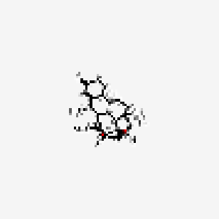 COC(=O)C12OC(=O)CC[C@@H]3[C@@H]4C[C@@H]4C4C1C(CC[C@@]43C)[C@@]1(C)CCC(=O)C=C1[C@@H]2C